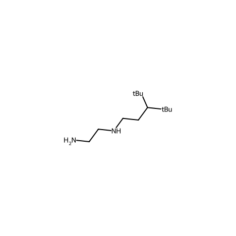 CC(C)(C)C(CCNCCN)C(C)(C)C